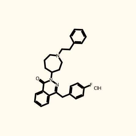 Cl.O=c1c2ccccc2c(Cc2ccc(F)cc2)nn1C1CCCN(CCc2ccccc2)CC1